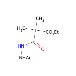 CCOC(=O)C(C)(C)C(=O)NNC(C)=O